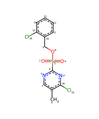 Cc1cnc(S(=O)(=O)OCc2ccccc2Cl)nc1Cl